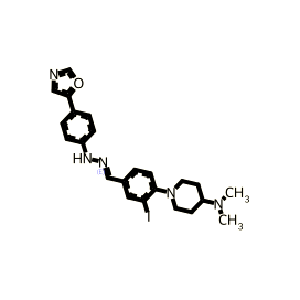 CN(C)C1CCN(c2ccc(/C=N/Nc3ccc(-c4cnco4)cc3)cc2I)CC1